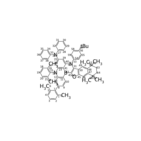 Cc1cccc(C)c1-c1ccc2c(c1)N(c1c(C)cccc1C)c1cc(N(c3ccccc3)c3ccccc3)cc3c1B2c1oc2cc4c(cc2c1N3c1ccc(C(C)(C)C)cc1)C(C)(C)CCC4(C)C